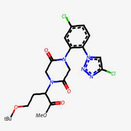 COC(=O)C(CCOC(C)(C)C)N1CC(=O)N(c2cc(Cl)ccc2-n2cc(Cl)nn2)CC1=O